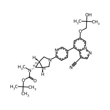 CN(C(=O)OC(C)(C)C)[C@@H]1[C@@H]2CN(c3ccc(-c4cc(OCC(C)(C)O)cn5ncc(C#N)c45)cn3)C[C@@H]21